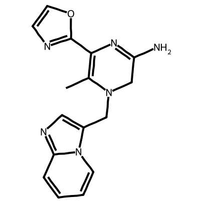 CC1=C(c2ncco2)N=C(N)CN1Cc1cnc2ccccn12